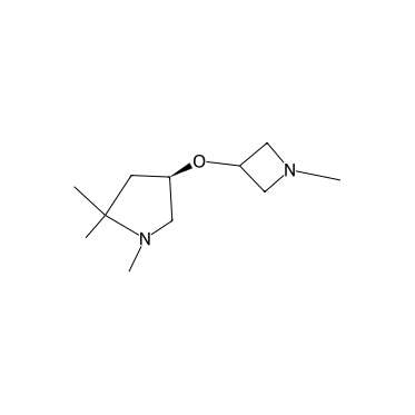 CN1CC(O[C@H]2CN(C)C(C)(C)C2)C1